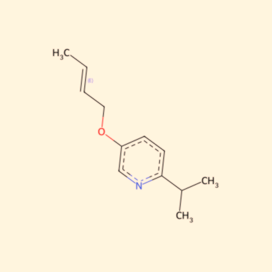 C/C=C/COc1ccc(C(C)C)nc1